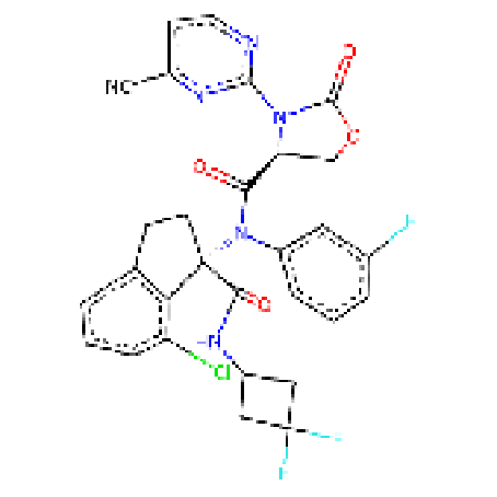 N#Cc1ccnc(N2C(=O)OC[C@H]2C(=O)N(c2cccc(F)c2)[C@@]2(C(=O)NC3CC(F)(F)C3)CCc3cccc(Cl)c32)n1